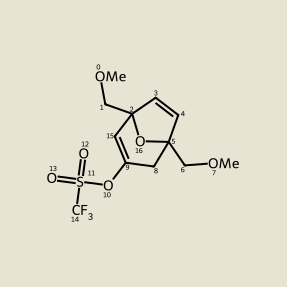 COCC12C=CC(COC)(CC(OS(=O)(=O)C(F)(F)F)=C1)O2